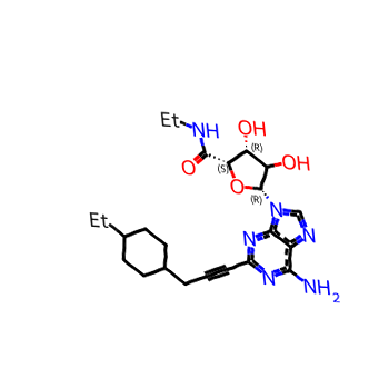 CCNC(=O)[C@H]1O[C@@H](n2cnc3c(N)nc(C#CCC4CCC(CC)CC4)nc32)C(O)[C@H]1O